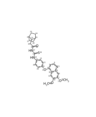 COc1cc2nccc(Oc3ccc(NC(=S)NC(=O)CC4C5CCC4CC5)cc3)c2cc1OC